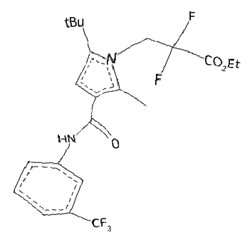 CCOC(=O)C(F)(F)Cn1c(C(C)(C)C)cc(C(=O)Nc2cccc(C(F)(F)F)c2)c1C